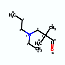 CCCN(CC)CC(C)(C)C=O